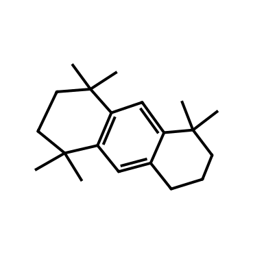 CC1(C)CCCc2cc3c(cc21)C(C)(C)CCC3(C)C